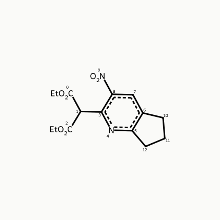 CCOC(=O)C(C(=O)OCC)c1nc2c(cc1[N+](=O)[O-])CCC2